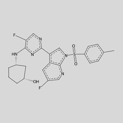 Cc1ccc(S(=O)(=O)n2cc(-c3ncc(F)c(N[C@H]4CCC[C@@H](O)C4)n3)c3cc(F)cnc32)cc1